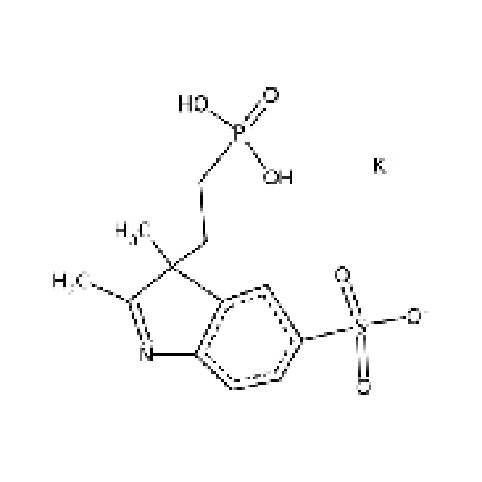 CC1=Nc2ccc(S(=O)(=O)[O-])cc2C1(C)CCP(=O)(O)O.[K+]